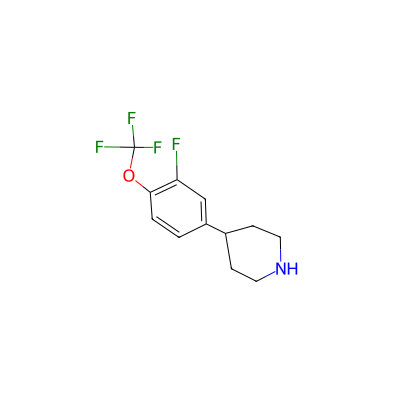 Fc1cc(C2CCNCC2)ccc1OC(F)(F)F